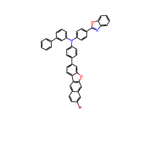 Brc1ccc2cc3c(cc2c1)oc1cc(-c2ccc(N(c4ccc(-c5nc6ccccc6o5)cc4)c4cccc(-c5ccccc5)c4)cc2)ccc13